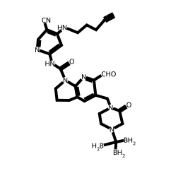 BC(B)(B)N1CCN(Cc2cc3c(nc2C=O)N(C(=O)Nc2cc(NCCCC#C)c(C#N)cn2)CCC3)C(=O)C1